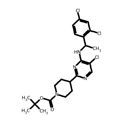 CC(Nc1nc(C2CCN(C(=O)OC(C)(C)C)CC2)ncc1Cl)c1ccc(Cl)cc1Cl